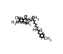 Cc1ccc(CC(=O)NCCCCCN(C)CCNC(=O)c2nc(Cl)c(N)nc2N)cc1